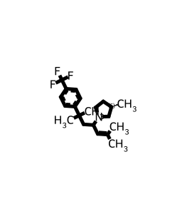 CC(C)=CC(CC(C)(C)c1ccc(C(F)(F)F)cc1)N1CC[C@H](C)C1